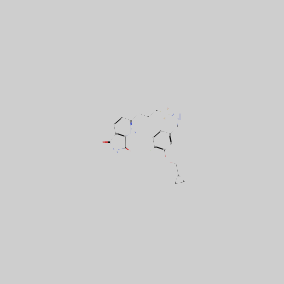 C[C@@H](NS(=O)(=O)CCCc1ccc2c(n1)C(=O)NC2=O)c1ccc(F)c(OCC2CC2)c1